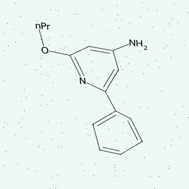 CCCOc1cc(N)cc(-c2ccccc2)n1